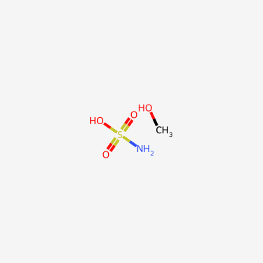 CO.NS(=O)(=O)O